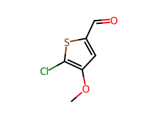 COc1cc(C=O)sc1Cl